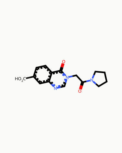 O=C(O)c1ccc2c(=O)n(CC(=O)N3CCCC3)cnc2c1